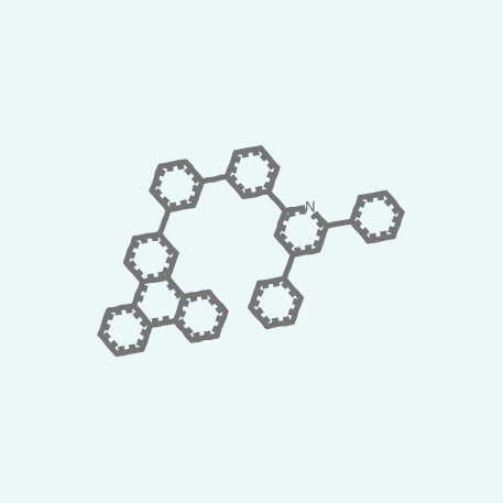 c1ccc(-c2cc(-c3ccccc3)nc(-c3cccc(-c4cccc(-c5ccc6c7ccccc7c7ccccc7c6c5)c4)c3)c2)cc1